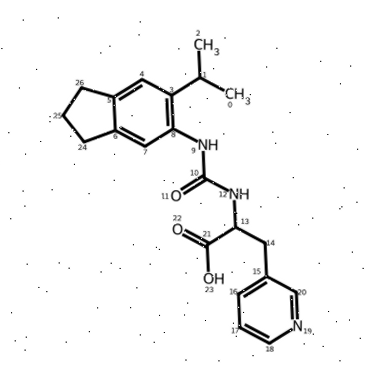 CC(C)c1cc2c(cc1NC(=O)NC(Cc1cccnc1)C(=O)O)CCC2